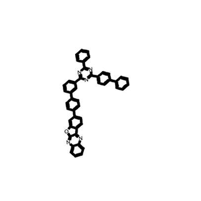 c1ccc(-c2ccc(-c3nc(-c4ccccc4)nc(-c4cccc(-c5ccc(-c6ccc7c(c6)oc6nc8ccccc8nc67)cc5)c4)n3)cc2)cc1